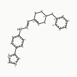 C(=NNc1ccc(-c2cnco2)cc1)C1=CCN(Cc2ccccc2)CC1